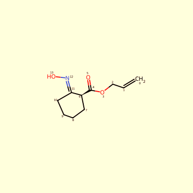 C=CCOC(=O)[C@H]1CCCC/C1=N\O